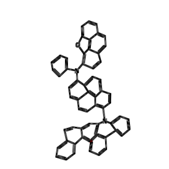 c1ccc(-c2ccccc2N(c2ccc3c(ccc4ccccc43)c2)c2ccc3ccc4c(N(c5ccccc5)c5ccc6ccc7cccc8oc5c6c78)ccc5ccc2c3c54)cc1